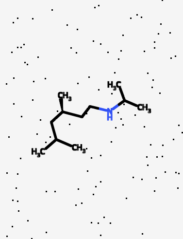 CC(C)C[C@@H](C)CCNC(C)C